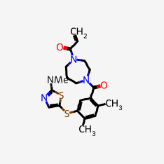 C=CC(=O)N1CCCN(C(=O)c2cc(Sc3cnc(NC)s3)c(C)cc2C)CC1